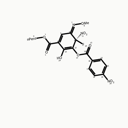 CCCCCOC(=O)C1=CC(=NOC)[C@](F)([N+](=O)[O-])C(OC(=O)c2ccc([N+](=O)[O-])cc2)=C1O